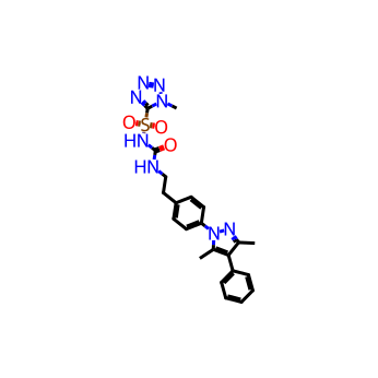 Cc1nn(-c2ccc(CCNC(=O)NS(=O)(=O)c3nnnn3C)cc2)c(C)c1-c1ccccc1